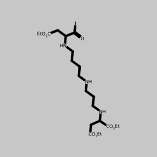 CCOC(=O)CC(NCCCCNCCCNC(CC(=O)OCC)C(=O)OCC)C(=O)I